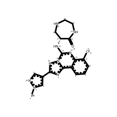 CC(C)n1cc(-c2nc3c4cccc(C(F)(F)F)c4nc(N[C@@H]4CNCCNC4=O)n3n2)cn1